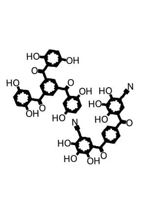 N#Cc1cc(C(=O)c2ccc(C(=O)c3cc(C#N)c(O)c(O)c3O)cc2)c(O)c(O)c1O.O=C(c1cc(C(=O)c2cc(O)ccc2O)cc(C(=O)c2cc(O)ccc2O)c1)c1cc(O)ccc1O